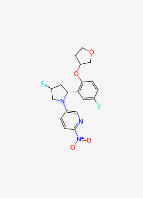 O=[N+]([O-])c1ccc(N2C[C@@H](F)C[C@@H]2c2cc(F)ccc2OC2CCOC2)cn1